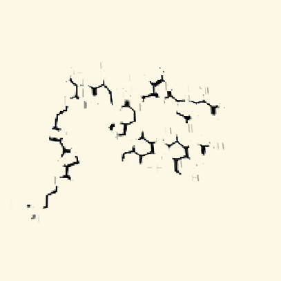 Cc1c(N)nc([C@H](CC(N)=O)NC[C@H](N)C(N)=O)nc1C(=O)N[C@@H](C(=O)N[C@H](C)[C@@H](O)[C@H](C)C(=O)N[C@@H](C(=O)NCCc1nc(-c2ncc(C(=O)NCCC[S+](C)C)s2)cs1)[C@@H](C)O)[C@@H](OC1OC(CO)C(O)C(O)C1OC1OC(CO)C(O)C(OC(N)=O)C1O)c1c[nH]cn1